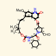 COc1cc2[nH]c(=O)cc3c2cc1/C=C/CC(C)(C)COC(=O)N[C@@H](C1CCCCC1)C(=O)N1C[C@@H](C[C@H]1C=O)O3